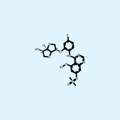 CCOc1cc(N=S(C)(C)=O)cc2ncnc(Nc3ccc(F)cc3O[C@@H]3CO[C@H]4C3OC[C@H]4O)c12